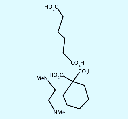 CNCCNC.O=C(O)C1(C(=O)O)CCCCC1.O=C(O)CCCCC(=O)O